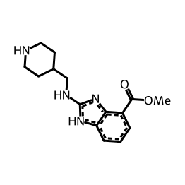 COC(=O)c1cccc2[nH]c(NCC3CCNCC3)nc12